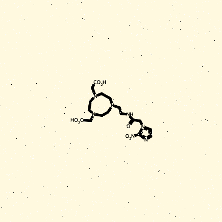 O=C(O)CN1CCN(CCNC(=O)Cn2ccnc2[N+](=O)[O-])CCN(CC(=O)O)CC1